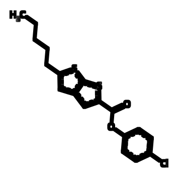 CCCCCc1cc2cc(C(=O)Oc3ccc(Cl)cc3)sc2s1